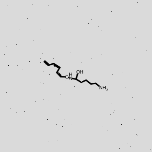 C=C/C=C\C=C/CNC(O)CCCCN